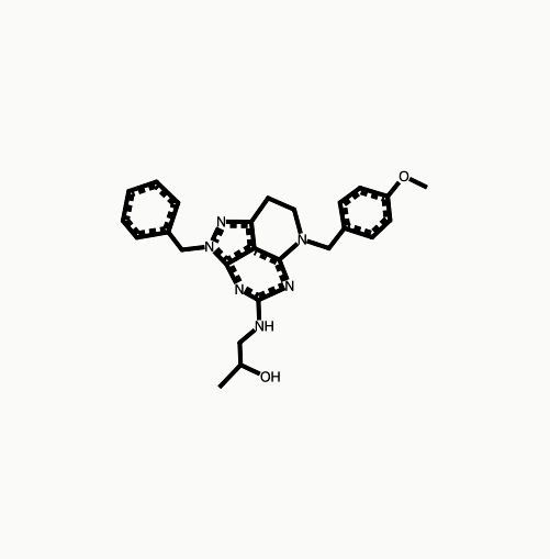 COc1ccc(CN2CCc3nn(Cc4ccccc4)c4nc(NCC(C)O)nc2c34)cc1